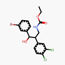 CCOC(=O)NCC(c1ccc(Cl)c(Cl)c1)C(O)c1cccc(Br)c1